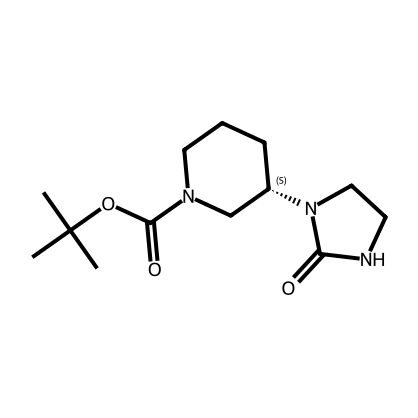 CC(C)(C)OC(=O)N1CCC[C@H](N2CCNC2=O)C1